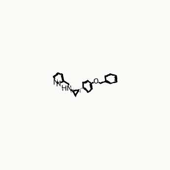 c1ccc(COc2ccc([C@@H]3C[C@H]3NCc3cccnn3)cc2)cc1